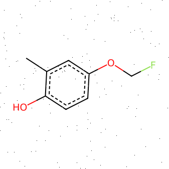 Cc1cc(OCF)ccc1O